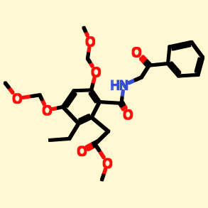 CCc1c(OCOC)cc(OCOC)c(C(=O)NCC(=O)c2ccccc2)c1CC(=O)OC